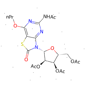 CCCOc1nc(NC(C)=O)nc2c1sc(=O)n2[C@@H]1O[C@H](COC(C)=O)[C@@H](OC(C)=O)[C@H]1OC(C)=O